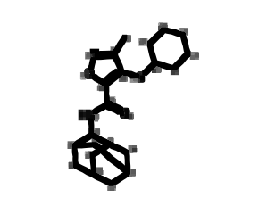 Cc1noc(C(=O)NC2C3CC4CC(C3)CC2C4)c1SC1CCCCC1